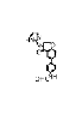 O=CNc1ccc(-c2ccc3c(c2)C(=O)N(CC2N=CC=CN2)CCO3)cc1